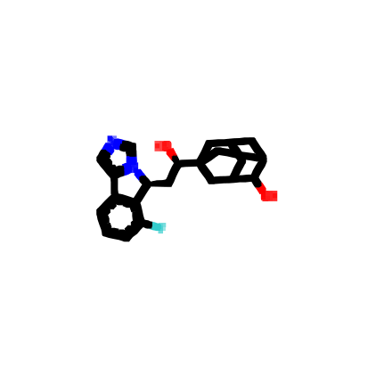 OC1C2CC3CC1CC([C@H](O)C[C@H]1c4c(F)cccc4-c4cncn41)(C3)C2